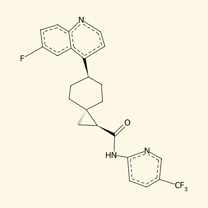 O=C(Nc1ccc(C(F)(F)F)cn1)[C@H]1C[C@]12CC[C@H](c1ccnc3ccc(F)cc31)CC2